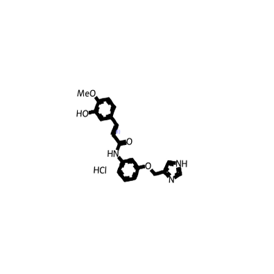 COc1ccc(/C=C/C(=O)Nc2cccc(OCc3c[nH]cn3)c2)cc1O.Cl